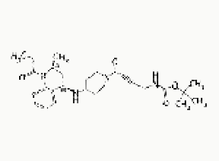 CCC(=O)N1c2ccccc2[C@H](NC2CCN(C(=O)C#CCNC(=O)OC(C)(C)C)CC2)C[C@@H]1C